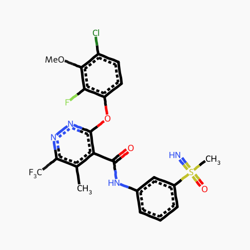 COc1c(Cl)ccc(Oc2nnc(C(F)(F)F)c(C)c2C(=O)Nc2cccc(S(C)(=N)=O)c2)c1F